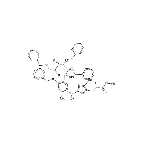 Cc1cc(OCc2ccccc2)c(C2(O)O[C@H](COCc3ccccc3)[C@@H](F)[C@H](OCc3ccccc3)[C@H]2OCc2ccccc2)cc1C(O)c1cc2c(s1)CCN(C(=O)OC(C)(C)C)C2